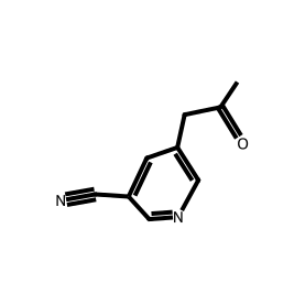 CC(=O)Cc1cncc(C#N)c1